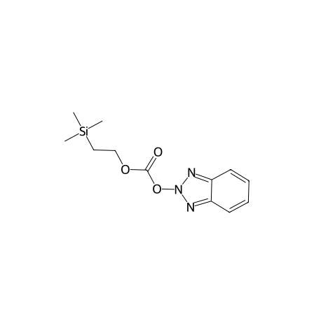 C[Si](C)(C)CCOC(=O)On1nc2ccccc2n1